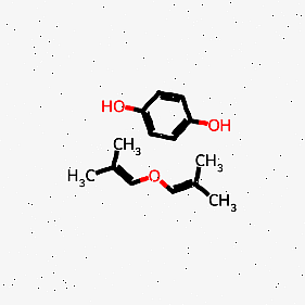 CC(C)=COC=C(C)C.Oc1ccc(O)cc1